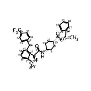 CC(C)n1nc(C(=O)N[C@H]2CC[C@@H](C(=O)O[C@@H](C)c3ccccc3)CC2)c2c(Cc3ccc(C(F)(F)F)cc3)cccc21